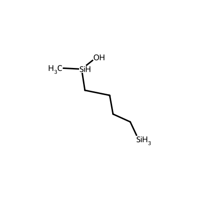 C[SiH](O)CCCC[SiH3]